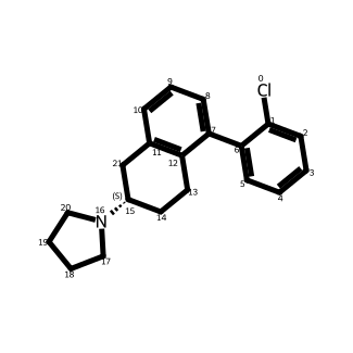 Clc1ccccc1-c1cccc2c1CC[C@H](N1CCCC1)C2